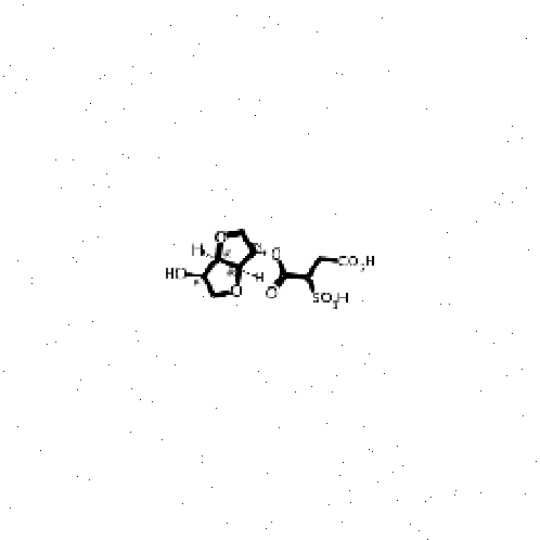 O=C(O)CC(C(=O)O[C@H]1CO[C@H]2[C@@H]1OC[C@H]2O)S(=O)(=O)O